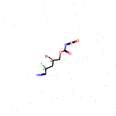 N=C[C@@H](F)C[C@@H](Br)COC(=O)N=C=O